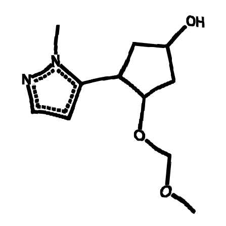 COCOC1CC(O)CC1c1ccnn1C